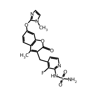 Cc1c(Cc2ccnc(NS(N)(=O)=O)c2F)c(=O)oc2cc(Oc3nccn3C)ccc12